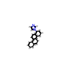 C1=CC2=c3ccc4c(c3CC=C2CC1)CC=CC=4n1ccnc1